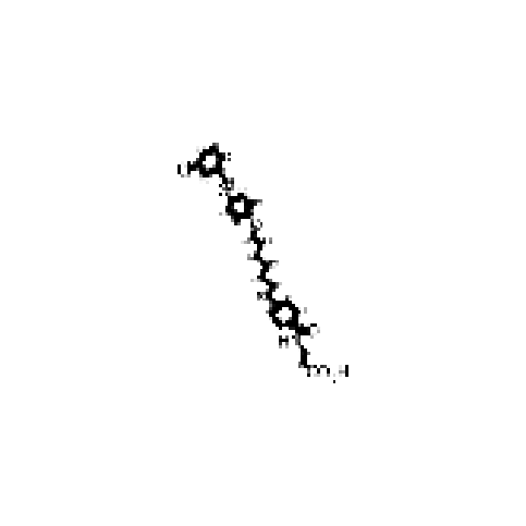 O=C(O)CCNC(=O)c1ccc(CCCCCCCOc2ccc(OCc3cccc(Cl)c3)cc2)cc1